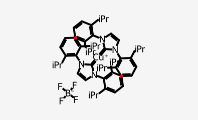 CC(C)c1cccc(C(C)C)c1-n1ccn(-c2c(C(C)C)cccc2C(C)C)[c]1=[Cu+]=[c]1n(-c2c(C(C)C)cccc2C(C)C)ccn1-c1c(C(C)C)cccc1C(C)C.F[B-](F)(F)F